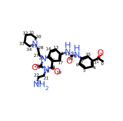 CC(=O)c1cccc(NC(=O)Nc2ccc3c(c2)c(=O)n(CCN)c(=O)n3CCN2CCCCC2)c1